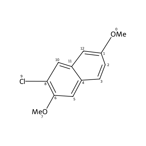 COc1ccc2cc(OC)c(Cl)cc2c1